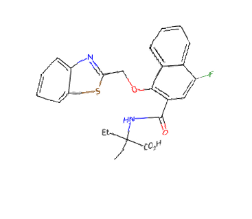 CCC(C)(NC(=O)c1cc(F)c2ccccc2c1OCc1nc2ccccc2s1)C(=O)O